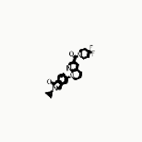 O=C(c1cnc2c(c1)CCCN2c1ccc2c(c1)CN(C1CC1)C2=O)N1CCC(F)(F)CC1